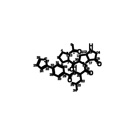 CC(=O)N1CCCC1C(=O)C1CC2NCC(=O)C2N1C(=O)C(CC(C)C)NC(=O)c1ccc(-c2cccs2)cc1